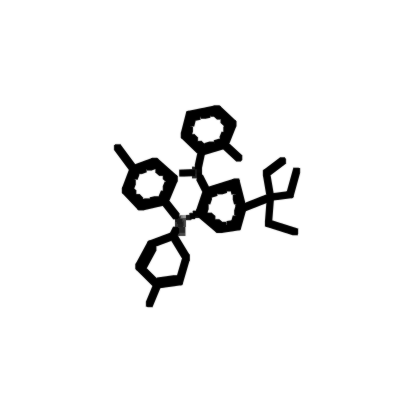 CCC(CC)(CC)c1ccc([Si@@H](c2ccc(C)cc2)C2C=CC(C)=CC2)c(N(C)c2ccccc2C)c1